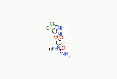 CCCN(C(=O)CN)c1ccc(S(=O)(=O)Nc2ccc(Cl)c3c(Cl)c[nH]c23)cc1